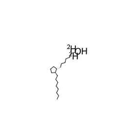 [2H]C([2H])(O)CCCCCC[C@H]1CCC[C@@H]1CCCCCCCC